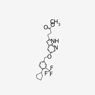 COC(=O)CCc1cc2cc(OCc3ccc(C4CCCC4)c(C(F)(F)F)c3)cnc2[nH]1